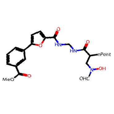 CCCCCC(CN(O)C=O)C(=O)NCNC(=O)c1ccc(-c2cccc(C(=O)OC)c2)o1